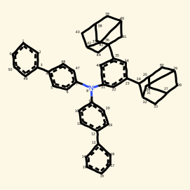 c1ccc(-c2ccc(N(c3ccc(-c4ccccc4)cc3)c3cc(C4C5CC6CC(C5)CC4C6)cc(C45CC6CC(CC(C6)C4)C5)c3)cc2)cc1